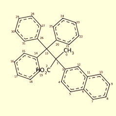 CC(C(=O)O)(c1ccc2ccccc2c1)C(c1ccccc1)(c1ccccc1)c1ccccc1